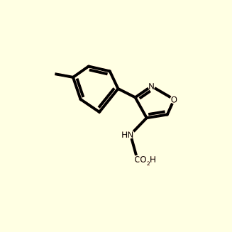 Cc1ccc(-c2nocc2NC(=O)O)cc1